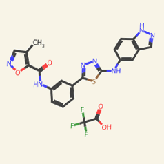 Cc1cnoc1C(=O)Nc1cccc(-c2nnc(Nc3ccc4[nH]ncc4c3)s2)c1.O=C(O)C(F)(F)F